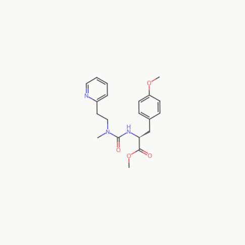 COC(=O)[C@H](Cc1ccc(OC)cc1)NC(=O)N(C)CCc1ccccn1